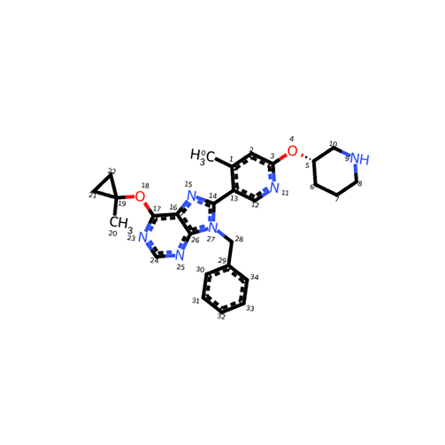 Cc1cc(O[C@H]2CCCNC2)ncc1-c1nc2c(OC3(C)CC3)ncnc2n1Cc1ccccc1